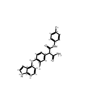 NC(=O)C(C(=O)Nc1ccc(F)cc1)c1ccc(Oc2ccnc3[nH]ccc23)c(F)c1